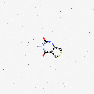 Cn1c(=O)[nH]c2cscc2c1=O